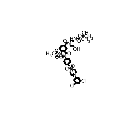 CN(c1ccc(C(=O)N(CCO)CCNC(=O)OC(C)(C)C)cc1C(=O)Nc1ccc(S(=O)(=O)N2CCN(c3cc(Cl)cc(Cl)c3)CC2)cc1)S(C)(=O)=O